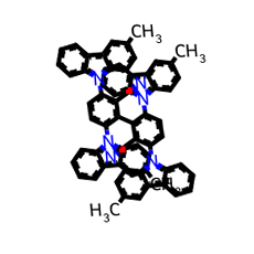 Cc1ccc2c(c1)c1ccccc1n2-c1ccc(-n2c3ccccc3c3cc(C)ccc32)c(-c2c(-n3c4ccccc4c4cc(C)ccc43)ccc(-n3c4ccccc4c4cc(C)ccc43)c2C#N)c1C#N